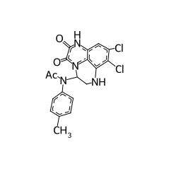 CC(=O)N(c1ccc(C)cc1)C1CNc2c(Cl)c(Cl)cc3[nH]c(=O)c(=O)n1c23